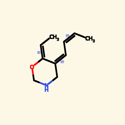 C\C=C/C=C1/CNCO/C1=C/C